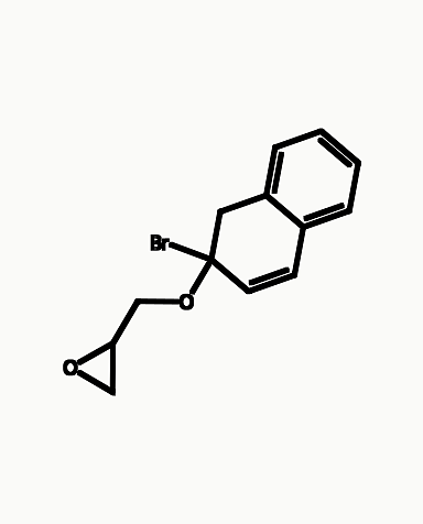 BrC1(OCC2CO2)C=Cc2ccccc2C1